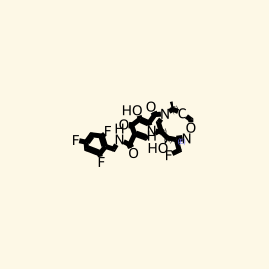 C[C@H]1CCO/N=C(/CF)[C@H](O)[C@H]2CN1C(=O)c1c(O)c(=O)c(C(=O)NCc3c(F)cc(F)cc3F)cn12